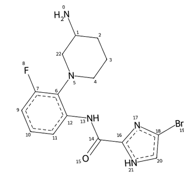 NC1CCCN(c2c(F)cccc2NC(=O)c2nc(Br)c[nH]2)C1